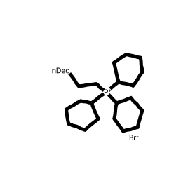 CCCCCCCCCCCC[P+](C1CCCCC1)(C1CCCCC1)C1CCCCC1.[Br-]